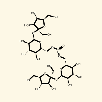 O=[PH](OC[C@H]1O[C@H](O[C@]2(CO)O[C@H](CO)[C@@H](O)[C@@H]2O)[C@H](O)[C@@H](O)[C@@H]1O)OC[C@H]1O[C@H](O[C@]2(CO)O[C@H](CO)[C@@H](O)[C@@H]2O)[C@H](O)[C@@H](O)[C@@H]1O